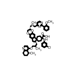 COc1ccccc1-c1nccc(CN(C)C[C@H]2COc3cc4c(cc3O2)C2(CCC(Nc3cccc(Cl)c3)(C(=O)O)CC2)[C@@H](C[C@@H](C)COc2ccnc3c2[C@H](C)CCC3)C4)n1